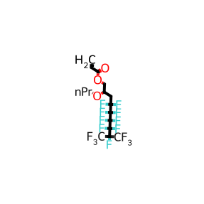 C=CC(=O)OCC(CC(F)(F)C(F)(F)C(F)(F)C(F)(F)C(F)(C(F)(F)F)C(F)(F)F)OCCC